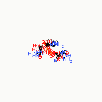 CO[C@@H]1[C@H](P(=O)([O-])OC[C@H]2O[C@@H](n3cnc4c(=O)[nH]c(N)nc43)[C@H](O)[C@@H]2O)[C@@H](COP(=O)(O)OP(=O)(O)OP(=O)(O)OC[C@H]2O[C@@H](n3c[n+](C)c4c(=O)[nH]c(N)nc43)[C@H](O)[C@@H]2CC(=O)N(C)C)O[C@H]1n1ccc(N)nc1=O